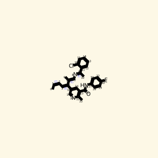 C\C=C/C=C(\C(C)=C\N=C(/C)c1ccccc1Cl)c1cnc(C)c(C(=O)Nc2ccc(F)cc2)c1